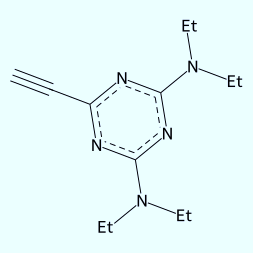 C#Cc1nc(N(CC)CC)nc(N(CC)CC)n1